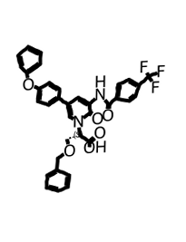 O=C(Nc1cc(-c2ccc(Oc3ccccc3)cc2)cn([C@@H](COCc2ccccc2)C(=O)O)c1=O)c1ccc(C(F)(F)F)cc1